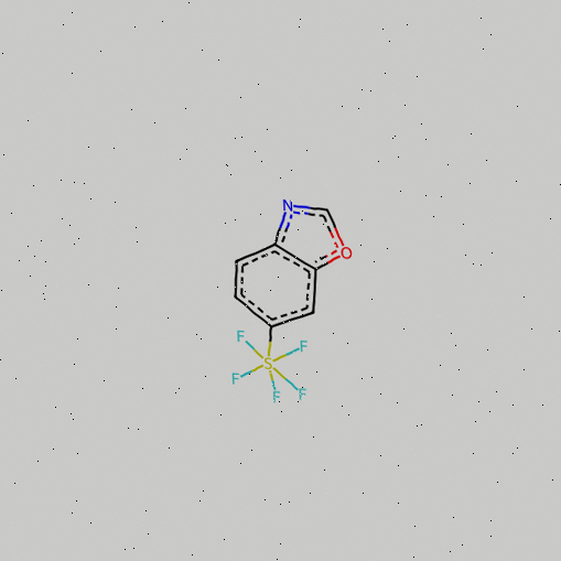 FS(F)(F)(F)(F)c1ccc2ncoc2c1